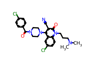 CN(C)CCCn1c(=O)c(C#N)c(N2CCN(C(=O)c3ccc(Cl)cc3)CC2)c2cc(Cl)ccc21